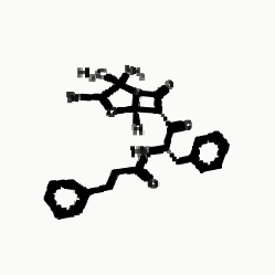 CC1(N)C(Br)O[C@H]2[C@@H](C(=O)[C@H](Cc3ccccc3)NC(=O)CCc3ccccc3)C(=O)N21